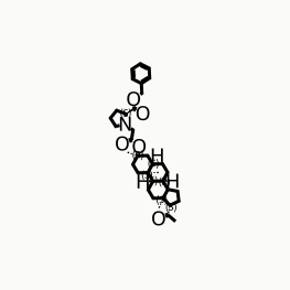 CC(=O)[C@H]1CCC2[C@@H]3CC[C@H]4C[C@](C)(OC(=O)CN5CCC[C@H]5C(=O)OCc5ccccc5)CC[C@]4(C)[C@H]3CC[C@@]21C